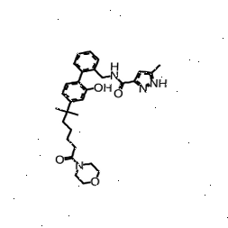 Cc1cc(C(=O)NCc2ccccc2-c2ccc(C(C)(C)CCCCC(=O)N3CCOCC3)cc2O)n[nH]1